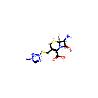 CN1C=NN(SCC2=C(C(=O)O)N3C(=O)C(N)[C@H]3SC2)N1